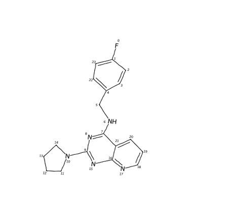 Fc1ccc(CNc2nc(N3CCCC3)nc3ncccc23)cc1